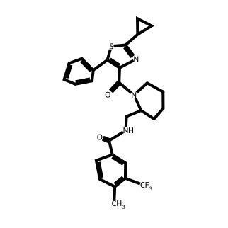 Cc1ccc(C(=O)NCC2CCCCN2C(=O)c2nc(C3CC3)sc2-c2ccccc2)cc1C(F)(F)F